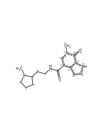 CN1CCCC1CCNC(=O)c1cn(C)c(=O)c2[nH]ccc12